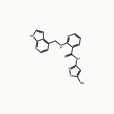 CC(C)(C)c1cc(NC(=O)c2cccnc2NCc2ccnc3[nH]ccc23)no1